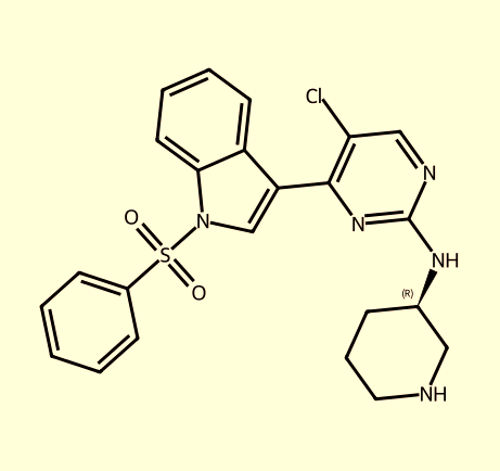 O=S(=O)(c1ccccc1)n1cc(-c2nc(N[C@@H]3CCCNC3)ncc2Cl)c2ccccc21